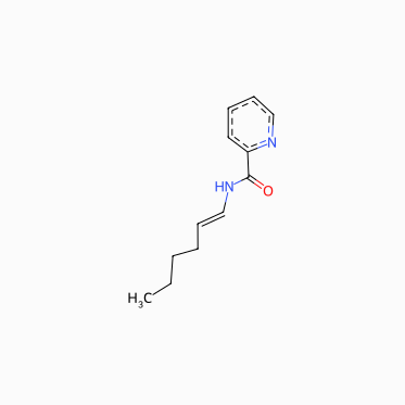 CCCCC=CNC(=O)c1ccccn1